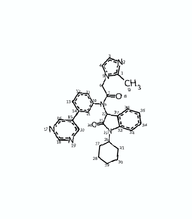 Cc1nccn1CC(=O)N(c1cccc(-c2cncnc2)c1)C1C(=O)N(C2CCCCC2)c2ccccc21